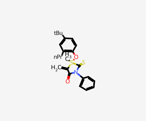 C=C1C(=O)N(c2ccccc2)C(=S)S1(C)Oc1ccc(C(C)(C)C)cc1CCC